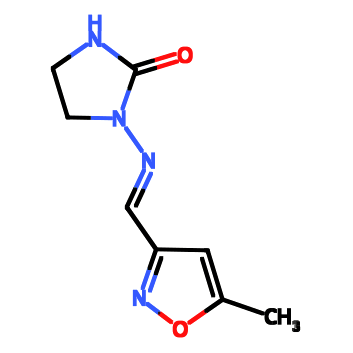 Cc1cc(C=NN2CCNC2=O)no1